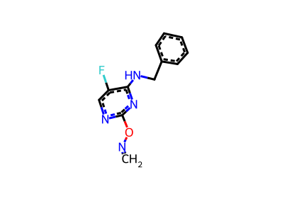 C=NOc1ncc(F)c(NCc2ccccc2)n1